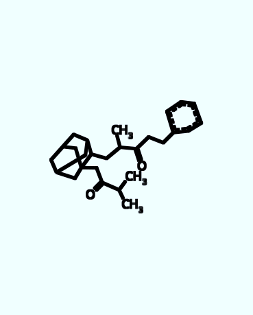 CC(C)C(=O)CC12CC3CC(CC(C3)C1CC(C)C(=O)CCc1ccccc1)C2